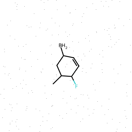 BC1C=CC(F)C(C)C1